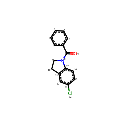 O=C(c1ccccc1)N1CCc2cc(Cl)ccc21